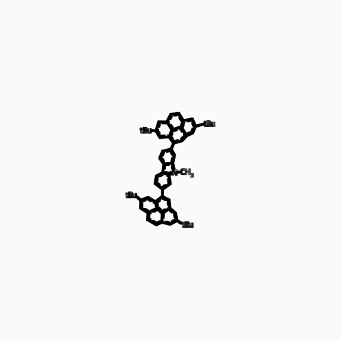 Cn1c2cc(-c3cc4cc(C(C)(C)C)cc5ccc6cc(C(C)(C)C)cc3c6c54)ccc2c2ccc(-c3cc4cc(C(C)(C)C)cc5ccc6cc(C(C)(C)C)cc3c6c54)cc21